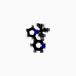 [2H]C([2H])([2H])N1CCCC1c1cccnc1